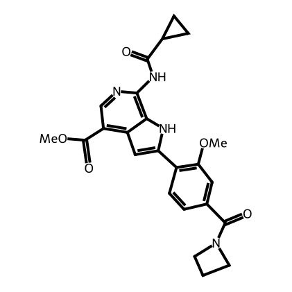 COC(=O)c1cnc(NC(=O)C2CC2)c2[nH]c(-c3ccc(C(=O)N4CCC4)cc3OC)cc12